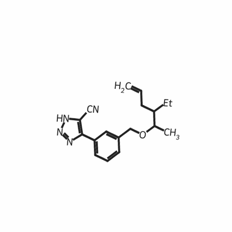 C=CCC(CC)C(C)OCc1cccc(-c2nn[nH]c2C#N)c1